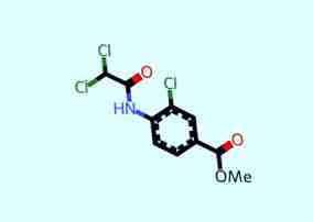 COC(=O)c1ccc(NC(=O)C(Cl)Cl)c(Cl)c1